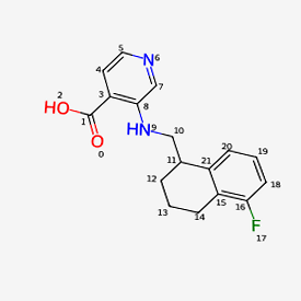 O=C(O)c1ccncc1NCC1CCCc2c(F)cccc21